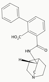 O=C(N[C@H]1CN2CCC1CC2)c1cccc(-c2ccccc2)c1C(=O)O